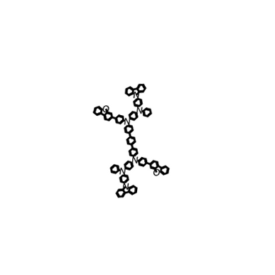 c1ccc(N(c2ccc(N(c3ccc(-c4ccc(-c5ccc(N(c6ccc(-c7ccc8c(c7)oc7ccccc78)cc6)c6ccc(N(c7ccccc7)c7ccc(-n8c9ccccc9c9ccccc98)cc7)cc6)cc5)cc4)cc3)c3ccc(-c4ccc5c(c4)oc4ccccc45)cc3)cc2)c2ccc(-n3c4ccccc4c4ccccc43)cc2)cc1